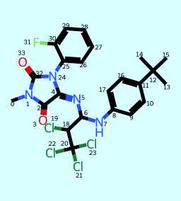 CN1C(=O)C(=NC(Nc2ccc(C(C)(C)C)cc2)C(Cl)C(Cl)(Cl)Cl)N(c2ccccc2F)C1=O